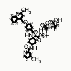 Cc1ccnc(C(=O)N[C@H]2CC[C@@](CC(=O)NO)(NC(=O)c3ccc(OCc4cc(C)nc5ccccc45)cc3)CC2)c1.O=C(O)C(F)(F)F.O=C(O)C(F)(F)F